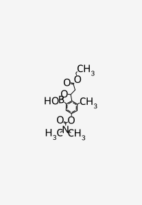 CCOC(=O)CC1OB(O)c2cc(OC(=O)N(C)C)cc(C)c21